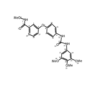 CONC(=O)c1cc(Oc2ccc(NC(=O)Nc3cc(OC)c(OC)c(OC)c3)cc2)ccn1